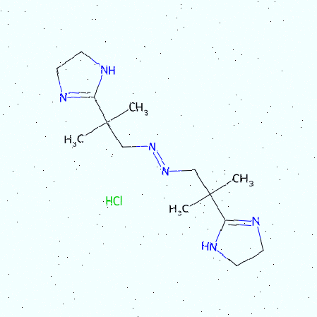 CC(C)(CN=NCC(C)(C)C1=NCCN1)C1=NCCN1.Cl